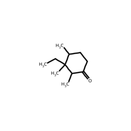 CCC1(C)C(C)CCC(=O)C1C